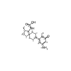 C[C@@H]1OCC2(CCN(c3nc(N)cc(=O)n3C)CC2)[C@@H]1NC(=O)O